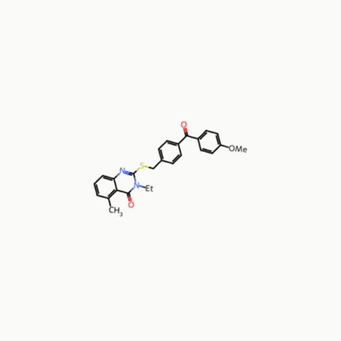 CCn1c(SCc2ccc(C(=O)c3ccc(OC)cc3)cc2)nc2cccc(C)c2c1=O